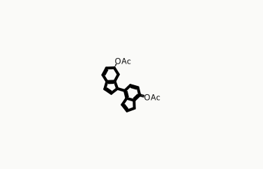 CC(=O)Oc1ccc(C2C=CC3=C2C[C@@H](OC(C)=O)C=C3)c2c1CC=C2